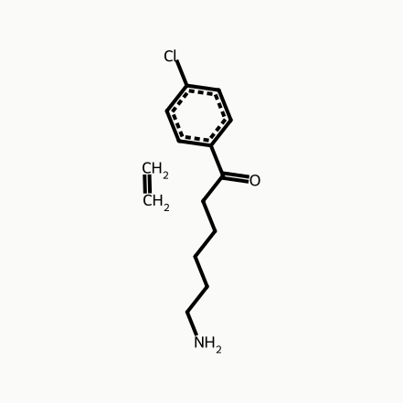 C=C.NCCCCCC(=O)c1ccc(Cl)cc1